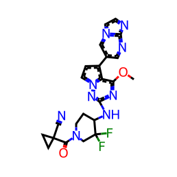 COc1nc(NC2CCN(C(=O)C3(C#N)CC3)CC2(F)F)nn2ccc(-c3cnc4nccn4c3)c12